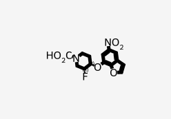 O=C(O)N1CC[C@@H](Oc2cc([N+](=O)[O-])cc3ccoc23)[C@H](F)C1